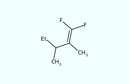 CCC(C)C(C)=C(F)F